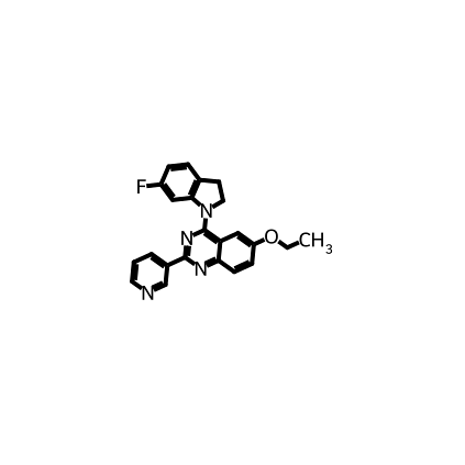 CCOc1ccc2nc(-c3cccnc3)nc(N3CCc4ccc(F)cc43)c2c1